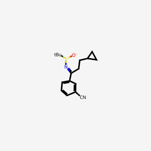 CC(C)(C)[S+]([O-])N=C(CCC1CC1)c1cccc(C#N)c1